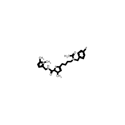 CC(=O)N(CCCCC1=CC(C)C(C(=O)NCc2ccc(C)n2C)S1)Cc1ccc(F)cc1